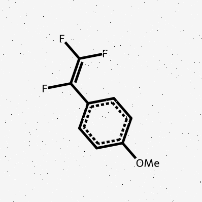 COc1ccc(C(F)=C(F)F)cc1